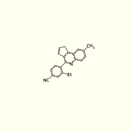 CCc1cc(C#N)ccc1-c1nc2ccc(C)cc2c2c1C=CC2